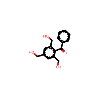 O=C(c1ccccc1)c1c(CO)cc(CO)cc1CO